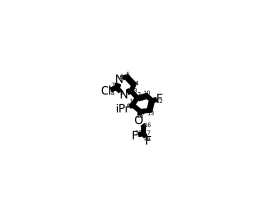 CC(C)C1C(c2ccnc(Cl)n2)=CC(F)=CC1OCC(F)F